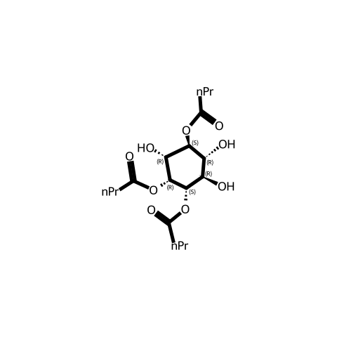 CCCC(=O)O[C@H]1[C@H](O)[C@@H](O)[C@H](OC(=O)CCC)[C@H](OC(=O)CCC)[C@@H]1O